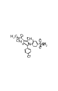 Cc1c(C(=O)N(C)C)cc(-c2ccc(Cl)cc2)n1-c1ccc(S(N)(=O)=O)cc1